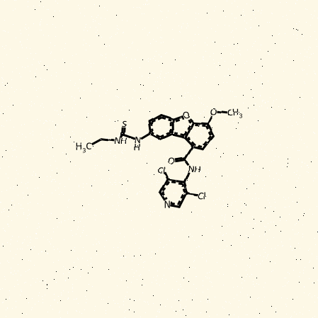 CCNC(=S)Nc1ccc2oc3c(OC)ccc(C(=O)Nc4c(Cl)cncc4Cl)c3c2c1